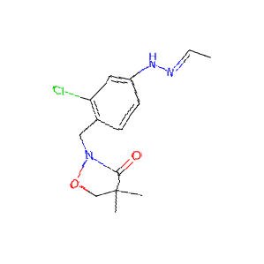 CC=NNc1ccc(CN2OCC(C)(C)C2=O)c(Cl)c1